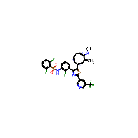 C=C1/C=C(c2sc(-c3cncc(C(F)(F)F)c3)nc2-c2cccc(NS(=O)(=O)c3c(F)cccc3F)c2F)\C=C/C/C=C\1NC